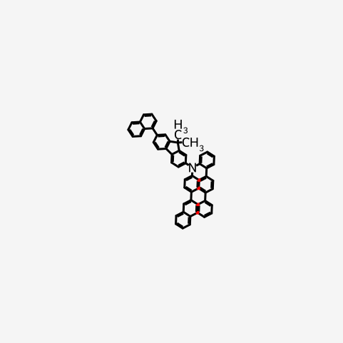 CC1(C)c2cc(-c3cccc4ccccc34)ccc2-c2ccc(N(c3ccc(-c4ccc5ccccc5c4)cc3)c3ccccc3-c3ccc(-c4ccccc4)cc3)cc21